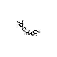 O=C(Nc1ccc2[nH]c(=O)ccc2c1)C(=O)N1CCN(c2cc(F)c(Cl)c(F)c2)CC1